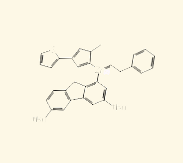 CC1C=C(c2cccs2)C=[C]1/[Zr](=[CH]/Cc1ccccc1)[c]1cc(C(C)(C)C)cc2c1Cc1ccc(C(C)(C)C)cc1-2